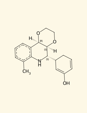 Cc1cccc2c1N[C@@H](C1C=C(O)C=CC1)[C@@H]1OCCO[C@H]21